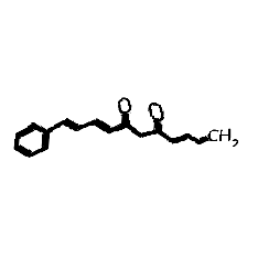 C=CC=CC(=O)CC(=O)C=CC=Cc1ccccc1